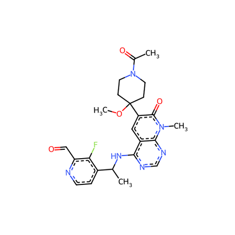 COC1(c2cc3c(NC(C)c4ccnc(C=O)c4F)ncnc3n(C)c2=O)CCN(C(C)=O)CC1